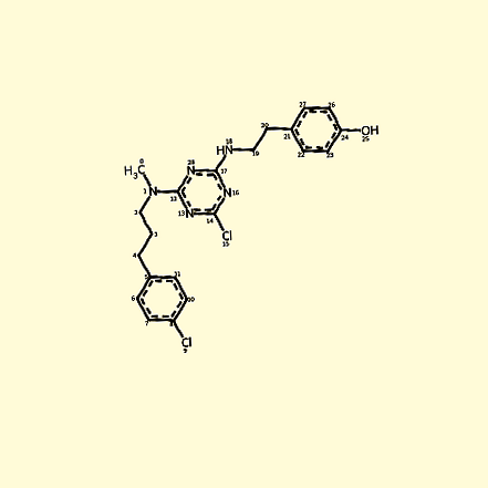 CN(CCCc1ccc(Cl)cc1)c1nc(Cl)nc(NCCc2ccc(O)cc2)n1